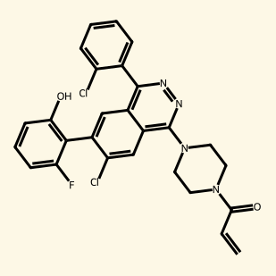 C=CC(=O)N1CCN(c2nnc(-c3ccccc3Cl)c3cc(-c4c(O)cccc4F)c(Cl)cc23)CC1